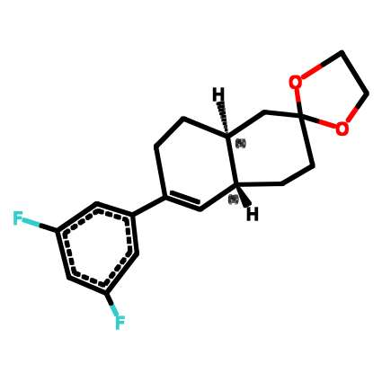 Fc1cc(F)cc(C2=C[C@H]3CCC4(C[C@@H]3CC2)OCCO4)c1